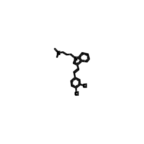 CN(C)CCCn1cc(/C=C/c2ccc(Cl)c(Cl)c2)c2ccccc21